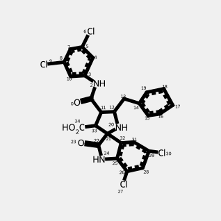 O=C(Nc1cc(Cl)cc(Cl)c1)C1C(Cc2ccccc2)NC2(C(=O)Nc3c(Cl)cc(Cl)cc32)C1C(=O)O